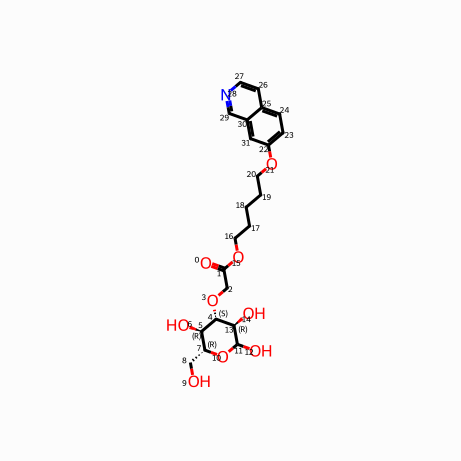 O=C(CO[C@H]1[C@H](O)[C@@H](CO)OC(O)[C@@H]1O)OCCCCCOc1ccc2ccncc2c1